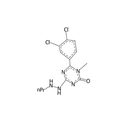 CCCNNc1nc(-c2ccc(Cl)c(Cl)c2)n(C)c(=O)n1